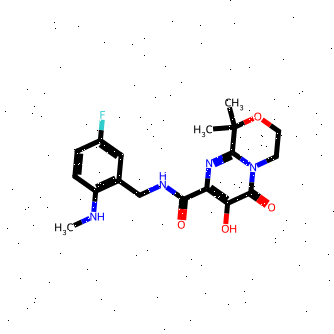 CNc1ccc(F)cc1CNC(=O)c1nc2n(c(=O)c1O)CCOC2(C)C